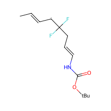 CC=C[CH]C(F)(F)CC=CNC(=O)OC(C)(C)C